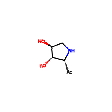 CC(=O)[C@H]1NC[C@H](O)[C@H]1O